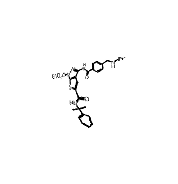 CCOC(=O)n1nc(NC(=O)c2ccc(CNC(C)C)cc2)c2cc(C(=O)NC(C)(C)c3ccccc3)sc21